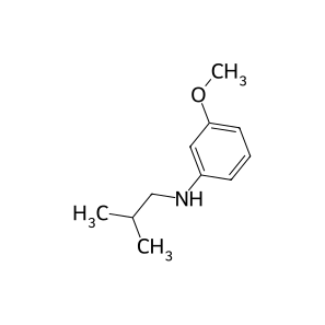 COc1cccc(NCC(C)C)c1